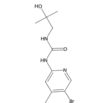 Cc1cc(NC(=O)NCC(C)(C)O)ncc1Br